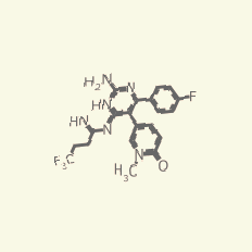 Cn1cc(-c2c(-c3ccc(F)cc3)nc(N)[nH]/c2=N\C(=N)CCC(F)(F)F)ccc1=O